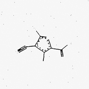 Cc1c(C(=O)O)sc(N)c1C#N